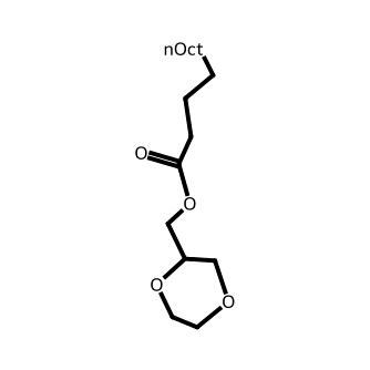 CCCCCCCCCCCC(=O)OCC1COCCO1